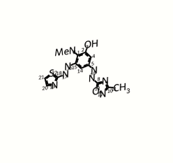 CNc1c(O)cc(/N=N/c2nc(C)no2)cc1/N=N/c1nccs1